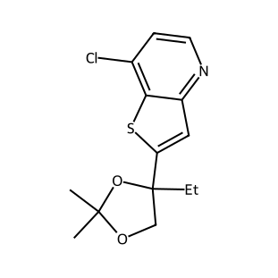 CCC1(c2cc3nccc(Cl)c3s2)COC(C)(C)O1